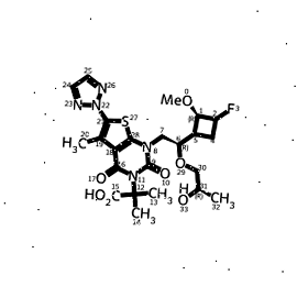 CO[C@H]1C(F)CC1[C@H](Cn1c(=O)n(C(C)(C)C(=O)O)c(=O)c2c(C)c(-n3nccn3)sc21)OC[C@@H](C)O